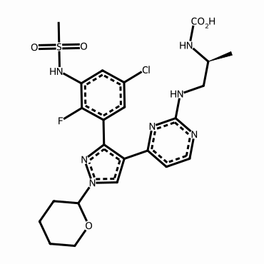 C[C@@H](CNc1nccc(-c2cn(C3CCCCO3)nc2-c2cc(Cl)cc(NS(C)(=O)=O)c2F)n1)NC(=O)O